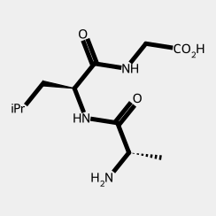 CC(C)C[C@H](NC(=O)[C@H](C)N)C(=O)NCC(=O)O